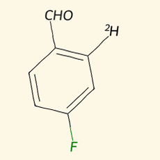 [2H]c1cc(F)ccc1C=O